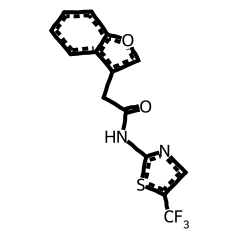 O=C(Cc1coc2ccccc12)Nc1ncc(C(F)(F)F)s1